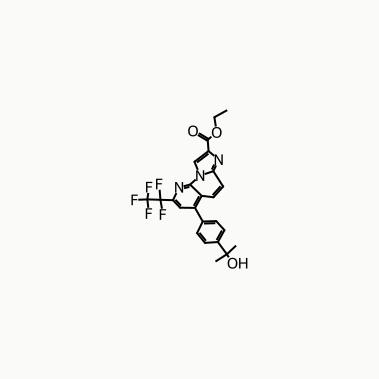 CCOC(=O)c1cn2c(ccc3c(-c4ccc(C(C)(C)O)cc4)cc(C(F)(F)C(F)(F)F)nc32)n1